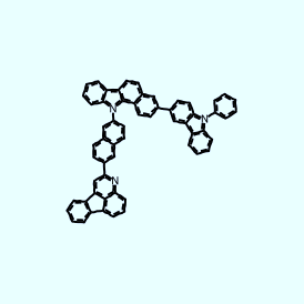 c1ccc(-n2c3ccccc3c3cc(-c4ccc5c(ccc6c7ccccc7n(-c7ccc8cc(-c9cc%10c%11c(cccc%11n9)-c9ccccc9-%10)ccc8c7)c56)c4)ccc32)cc1